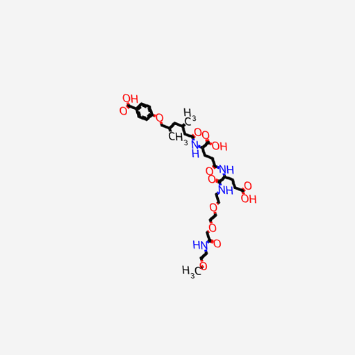 COCCNC(=O)COCCOCCNC(=O)C(CCC(=O)O)NC(=O)CCC(NC(=O)CC(C)CC(C)COc1ccc(C(=O)O)cc1)C(=O)O